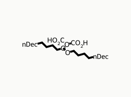 CCCCCCCCCCCCCCOOCCCCCCCCCCCCCC.O=C(O)OC(=O)O